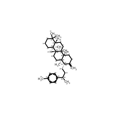 C=C1CC[C@H]2[C@]3(C)CC[C@H]4C(C)(C)CCC[C@]4(C)[C@H]3CC[C@]2(C)[C@H]1CC[C@@H](C)c1ccc(C)cc1